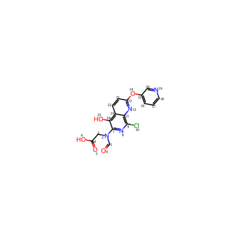 O=CN(CC(=O)O)c1nc(Cl)c2nc(Oc3cccnc3)ccc2c1O